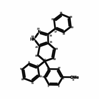 COc1cccc(C2(c3ccccc3)C=Cc3c(-c4ccccc4)n[nH]c3C2)c1